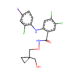 O=C(NOCC1(CO)CC1)c1cc(Cl)c(F)cc1Nc1ccc(I)cc1F